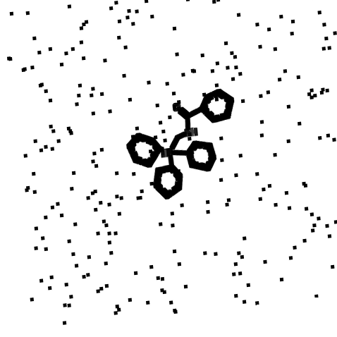 O=C(NC[PH](c1ccccc1)(c1ccccc1)c1ccccc1)c1ccccc1